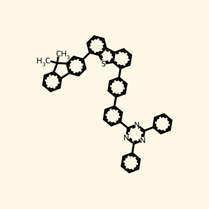 CC1(C)c2ccccc2-c2ccc(-c3cccc4c3sc3c(-c5ccc(-c6cccc(-c7nc(-c8ccccc8)nc(-c8ccccc8)n7)c6)cc5)cccc34)cc21